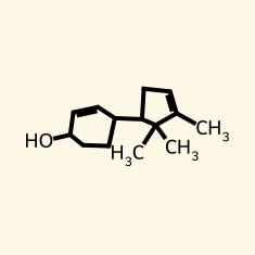 CC1=CCC(C2C=CC(O)CC2)C1(C)C